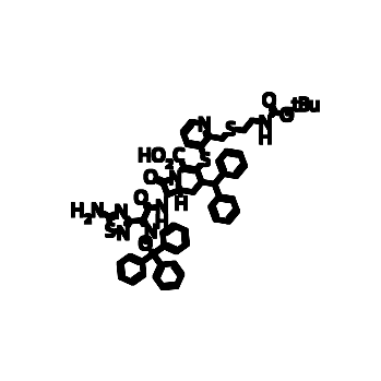 CC(C)(C)OC(=O)NCCSCc1ncccc1SC1=C(C(=O)O)N2C(=O)[C@@H](NC(=O)C(=NOC(c3ccccc3)(c3ccccc3)c3ccccc3)c3nsc(N)n3)[C@H]2CC1C(c1ccccc1)c1ccccc1